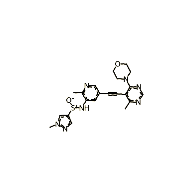 Cc1ncc(C#Cc2c(C)ncnc2N2CCOCC2)cc1N[S+]([O-])c1cnn(C)c1